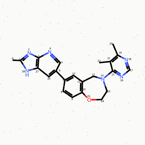 Cc1nc2ncc(-c3ccc4c(c3)CN(c3ncnc(C)c3C)CCO4)cc2[nH]1